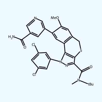 COc1cc2c(cc1-c1cncc(C(N)=O)c1)-c1c(c(C(=O)N(C)C(C)(C)C)nn1-c1cc(Cl)cc(Cl)c1)SC2